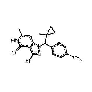 CCc1nn(C(c2ccc(C(F)(F)F)cc2)C2(C)CC2)c2nc(C)[nH]c(=O)c12